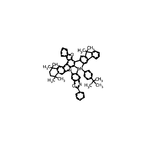 CC(C)(C)c1ccc(N2B3c4cc5nc(-c6ccccc6)oc5cc4-n4c5cc6c(cc5c5c7c(oc8ccccc87)c(c3c54)-c3cc4c(cc32)-c2ccccc2C4(C)C)C(C)(C)CCC6(C)C)cc1